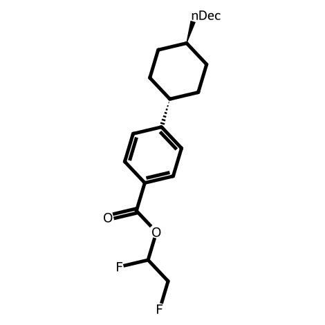 CCCCCCCCCC[C@H]1CC[C@H](c2ccc(C(=O)OC(F)CF)cc2)CC1